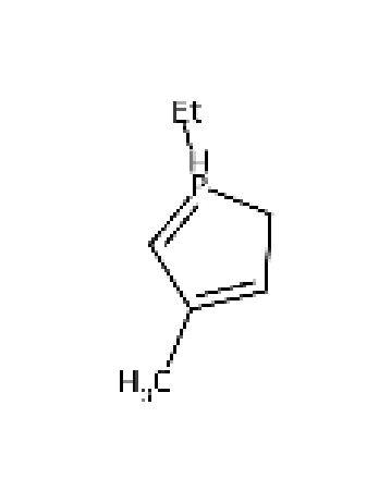 CC[PH]1=CC(C)=CC1